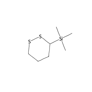 C[Si](C)(C)C1CCCSS1